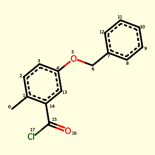 Cc1ccc(OCc2ccccc2)cc1C(=O)Cl